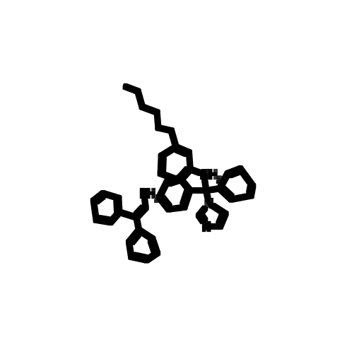 BC=C(c1ccccc1)c1ccccc1.CCCCCCc1cccc([SiH2]C(c2ccccc2)(c2ccccc2)n2ccnc2)c1